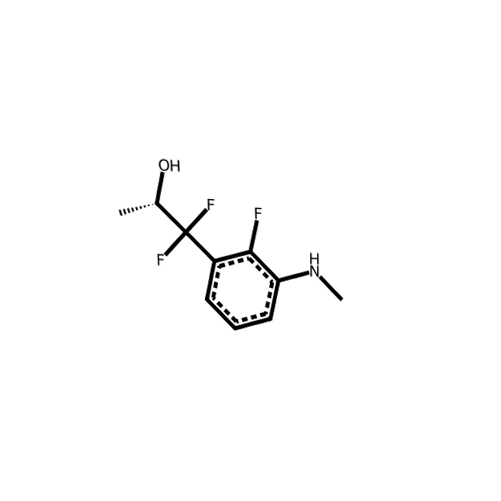 CNc1cccc(C(F)(F)[C@H](C)O)c1F